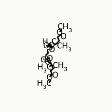 CCOC(=O)CCC(C)(C)COS(=O)(=O)CCCS(=O)(=O)OCC(C)(C)CCC(=O)OCC